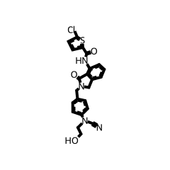 N#CN(CCO)c1ccc(CN2Cc3cccc(NC(=O)c4ccc(Cl)s4)c3C2=O)cc1